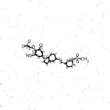 CS(=O)(=O)Nc1nccc(COc2ccc3c(ccn3-c3cc(Cl)c(OC=C(Cl)Cl)c(C#N)c3)c2)n1